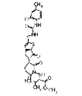 COC(=O)[C@H](NN1C(=O)CCC(N2Cc3cc(CNC(=O)Nc4ccc(C)cc4Cl)sc3C2=O)C1=O)C(C)C